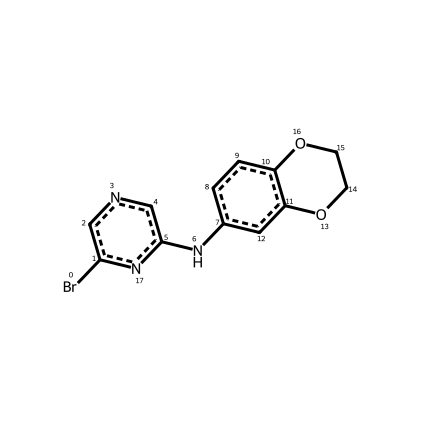 Brc1cncc(Nc2ccc3c(c2)OCCO3)n1